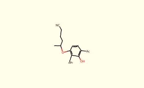 CCCc1c(OC(C)CCCC#N)ccc(C(C)=O)c1O